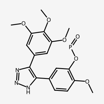 COc1ccc(-c2[nH]nnc2-c2cc(OC)c(OC)c(OC)c2)cc1OP=O